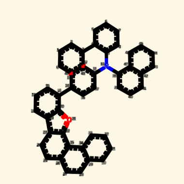 c1ccc(-c2ccccc2N(c2ccc(-c3cccc4c3oc3c4ccc4ccc5ccccc5c43)cc2)c2cccc3ccccc23)cc1